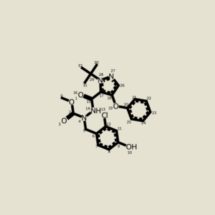 COC(=O)N(Cc1ccc(O)cc1Cl)NC(=O)c1c(Oc2ccccc2)cnn1C(C)(C)C